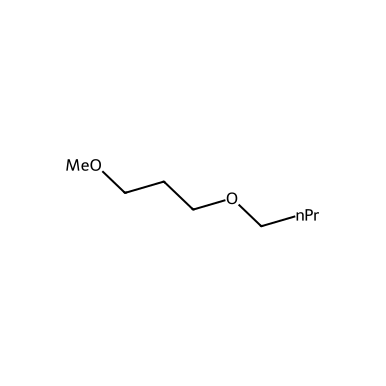 CCCCOCCCOC